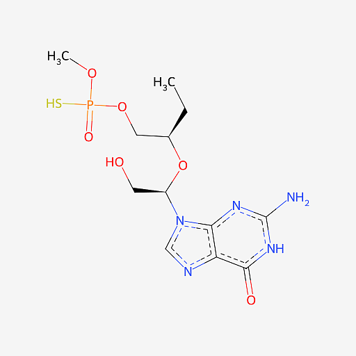 CC[C@H](COP(=O)(S)OC)O[C@H](CO)n1cnc2c(=O)[nH]c(N)nc21